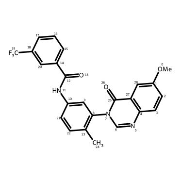 COc1ccc2ncn(-c3cc(NC(=O)c4cccc(C(F)(F)F)c4)ccc3C)c(=O)c2c1